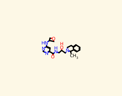 CC1c2ccccc2CCN1CC(O)CNC(=O)c1cc(NC2COC2)ncn1